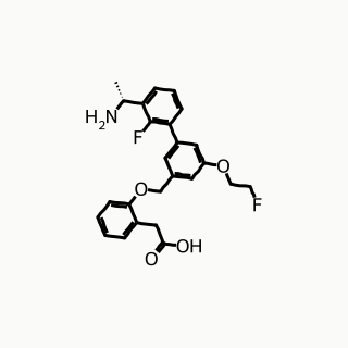 C[C@@H](N)c1cccc(-c2cc(COc3ccccc3CC(=O)O)cc(OCCF)c2)c1F